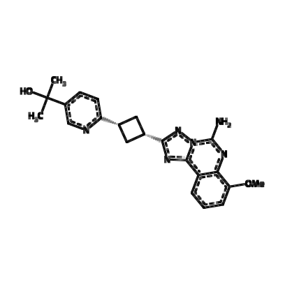 COc1cccc2c1nc(N)n1nc([C@H]3C[C@@H](c4ccc(C(C)(C)O)cn4)C3)nc21